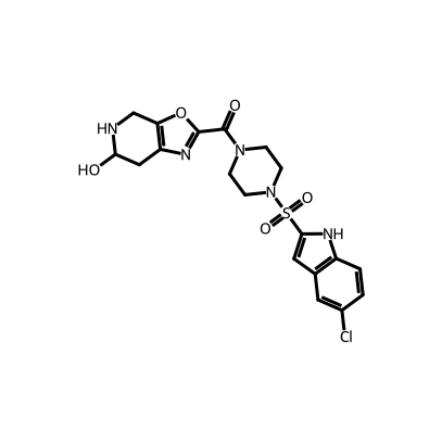 O=C(c1nc2c(o1)CNC(O)C2)N1CCN(S(=O)(=O)c2cc3cc(Cl)ccc3[nH]2)CC1